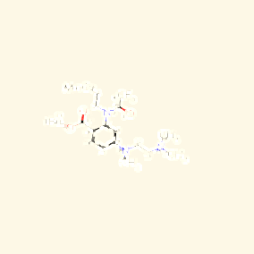 COCCN(C(=O)C(F)(F)F)c1cc(N(C)CCN(C)C)ccc1C(=O)OC(C)(C)C